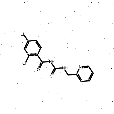 O=C(NC(=S)NCc1ccccn1)c1ccc(Cl)cc1Cl